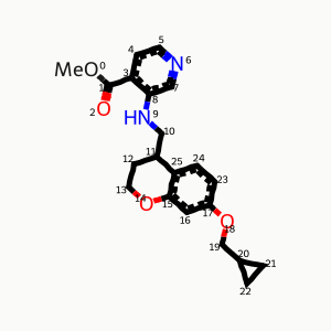 COC(=O)c1ccncc1NCC1CCOc2cc(OCC3CC3)ccc21